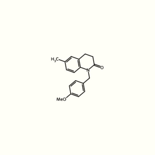 COc1ccc(CN2C(=O)CCc3cc(C)ccc32)cc1